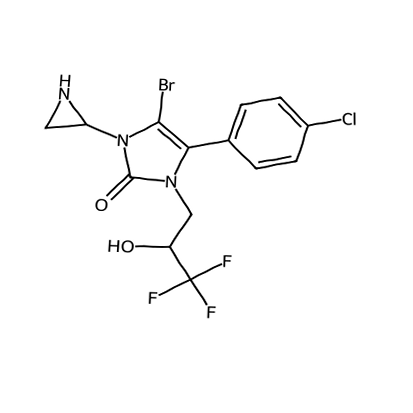 O=c1n(CC(O)C(F)(F)F)c(-c2ccc(Cl)cc2)c(Br)n1C1CN1